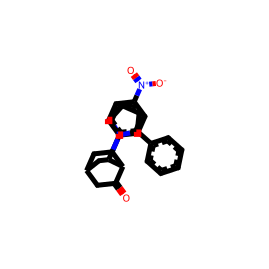 O=C1CC2CC(c3ccc([N+](=O)[O-])cc3)C1C(N1CCCC1c1ccccc1)C2